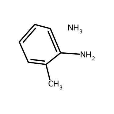 Cc1ccccc1N.N